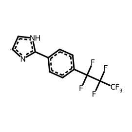 FC(F)(F)C(F)(F)C(F)(F)c1ccc(-c2n[c]c[nH]2)cc1